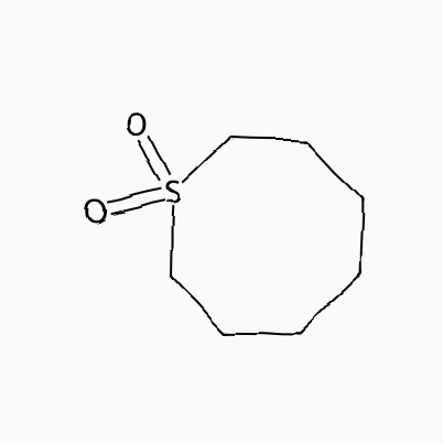 O=S1(=O)CCCCCCC1